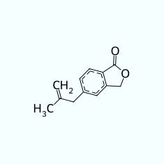 C=C(C)Cc1ccc2c(c1)COC2=O